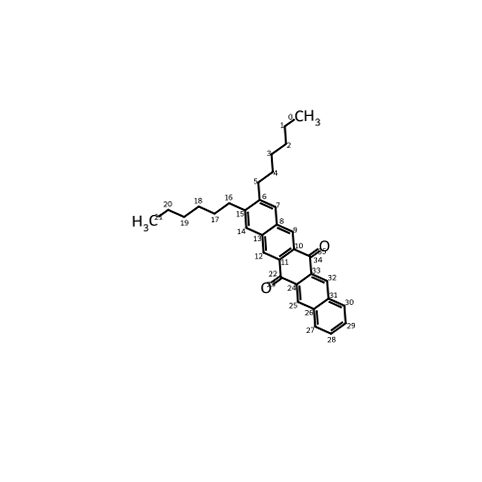 CCCCCCc1cc2cc3c(cc2cc1CCCCCC)C(=O)c1cc2ccccc2cc1C3=O